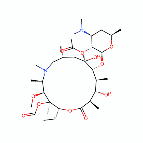 CC[C@H]1OC(=O)[C@H](C)[C@@H](O)[C@H](C)[C@@H](O[C@@H]2O[C@H](C)C[C@H](N(C)C)[C@H]2OC(C)=O)[C@](C)(O)C[C@@H](C)CN(C)[C@H](C)[C@H](OC)[C@]1(C)OC=O